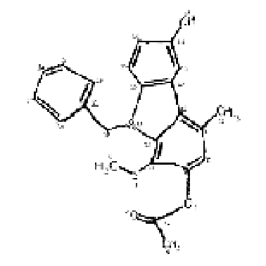 CSc1c(OC(C)=O)cc(C)c2c3cc(O)ccc3n(Cc3ccccc3)c12